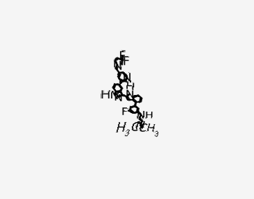 CN(C)CCNc1cc(F)cc(-c2cccc3[nH]c(-c4n[nH]c5ccc(-c6cncc(CN7CCC(F)(F)C7)c6)cc45)cc23)c1